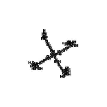 CC(=O)N[C@@H]1[C@@H](O)[C@@H](O)[C@@H](CO)O[C@@H]1CCCOCCOCCNC(=O)CCOCC(COCCC(=O)NCCOCCOCCC[C@H]1O[C@H](CO)[C@H](O)[C@H](O)[C@H]1NC(C)=O)(COCCC(=O)NCCOCCOCCC[C@H]1O[C@H](CO)[C@H](O)[C@H](O)[C@H]1NC(C)=O)NC(=O)COCCOCCOCCOCCNS(=O)(=O)C1CCNCC1